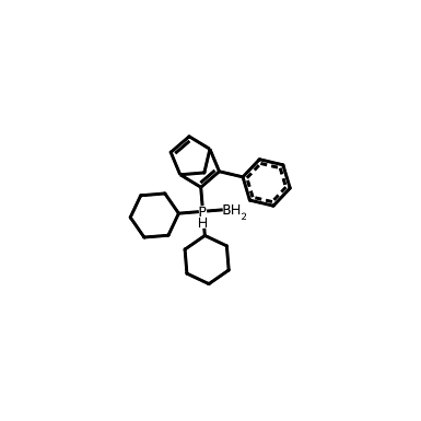 B[PH](C1=C(c2ccccc2)C2C=CC1C2)(C1CCCCC1)C1CCCCC1